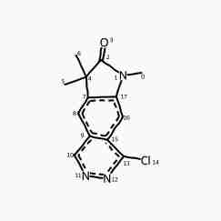 CN1C(=O)C(C)(C)c2cc3cnnc(Cl)c3cc21